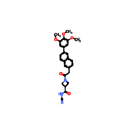 COc1cc(-c2ccc3cc(CC(=O)N4CC(C(=O)NC#N)C4)ccc3c2)cc(OC)c1OC